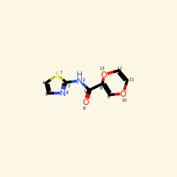 O=C(Nc1nccs1)C1=COC=CO1